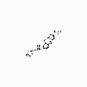 O=C(O)c1ccc2c(c1)CCc1cc(CNCCC3CCOCC3)ccc1O2